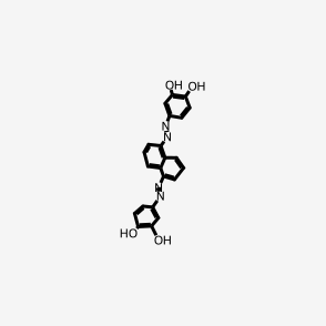 Oc1ccc(N=Nc2cccc3c(N=Nc4ccc(O)c(O)c4)cccc23)cc1O